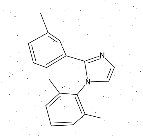 Cc1cccc(-c2nccn2-c2c(C)cccc2C)c1